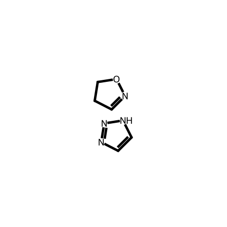 C1=NOCC1.c1c[nH]nn1